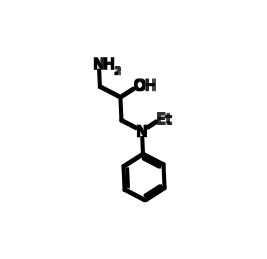 CCN(CC(O)CN)c1ccccc1